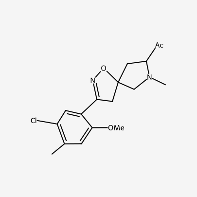 COc1cc(C)c(Cl)cc1C1=NOC2(C1)CC(C(C)=O)N(C)C2